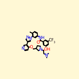 Cc1ccc(NC(=O)c2cccc(C(F)(F)F)c2)cc1-n1cc(-c2cnccc2OCC2CCN(C(O)CN(C)C)C2)cn1